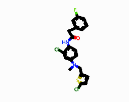 CN(Cc1ccc(Cl)s1)c1ccc(NC(=O)Cc2cccc(F)c2)c(Cl)c1